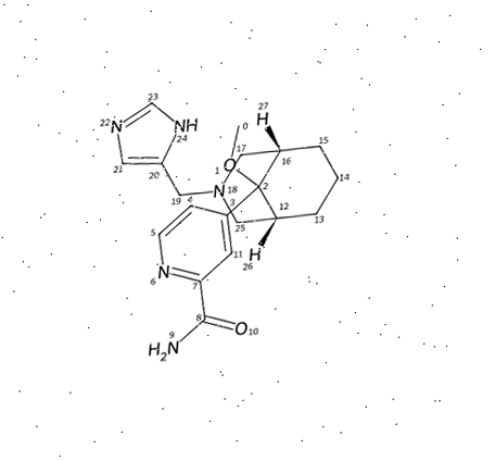 COC1(c2ccnc(C(N)=O)c2)[C@@H]2CCC[C@H]1CN(Cc1cnc[nH]1)C2